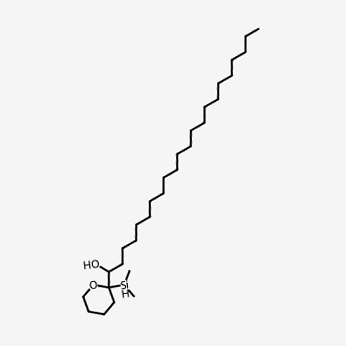 CCCCCCCCCCCCCCCCCCCCCC(O)C1([SiH](C)C)CCCCO1